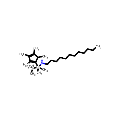 CCCCCCCCCCCC[NH][Hf]([CH3])([CH3])([C]1=C(C)C(C)=C(C)C1C)[SiH](C)C